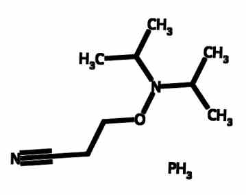 CC(C)N(OCCC#N)C(C)C.P